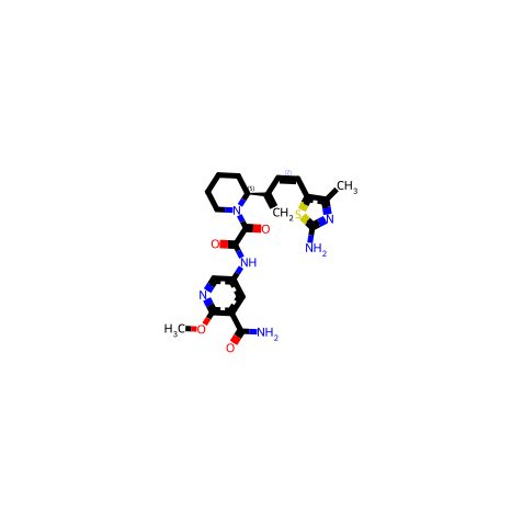 C=C(/C=C\c1sc(N)nc1C)[C@@H]1CCCCN1C(=O)C(=O)Nc1cnc(OC)c(C(N)=O)c1